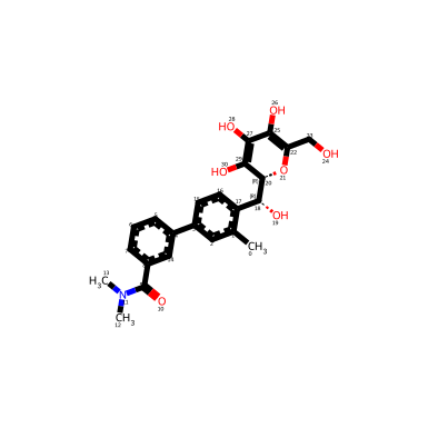 Cc1cc(-c2cccc(C(=O)N(C)C)c2)ccc1[C@@H](O)[C@H]1OC(CO)=C(O)C(O)=C1O